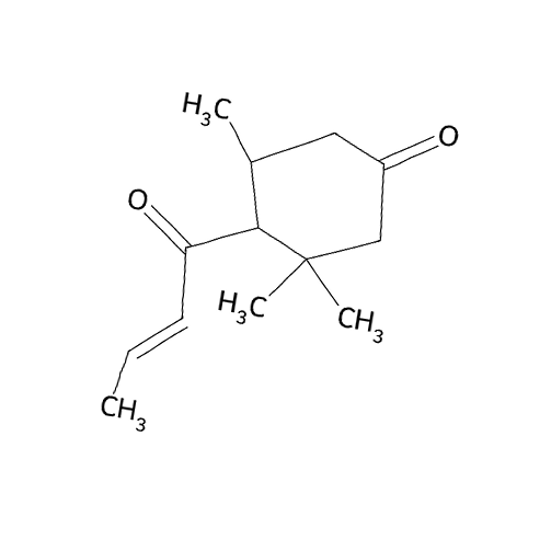 CC=CC(=O)C1C(C)CC(=O)CC1(C)C